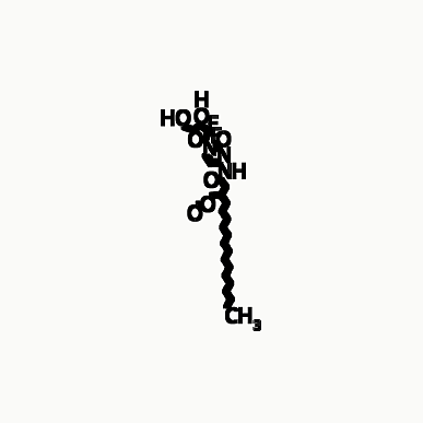 CCCCCCCCCCCCCCCC(COC=O)CC(=O)Nc1ccn(C2OC(CO)C(O)C2(F)F)c(=O)n1